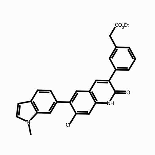 CCOC(=O)Cc1cccc(-c2cc3cc(-c4ccc5ccn(C)c5c4)c(Cl)cc3[nH]c2=O)c1